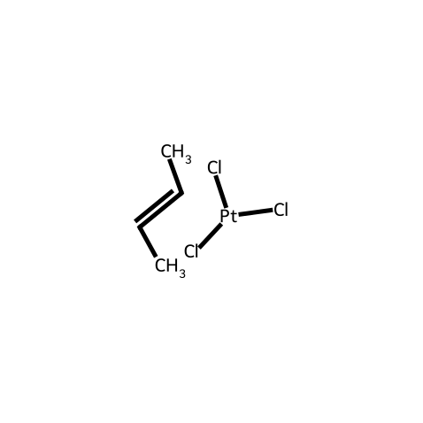 CC=CC.[Cl][Pt]([Cl])[Cl]